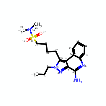 CCCn1nc2c(N)nc3ccccc3c2c1CCCCS(=O)(=O)N(C)C